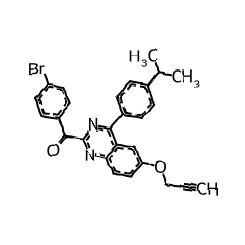 C#CCOc1ccc2nc(C(=O)c3ccc(Br)cc3)nc(-c3ccc(C(C)C)cc3)c2c1